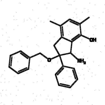 Cc1cc(C)c2c(c1O)C(N)C(OCc1ccccc1)(c1ccccc1)C2